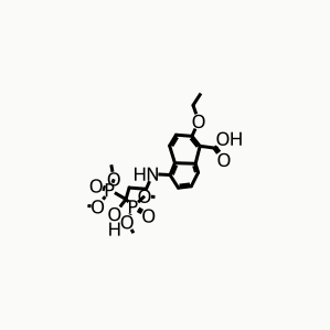 CCOc1ccc2c(NCCC(O)(P(=O)(OC)OC)P(=O)(OC)OC)cccc2c1C(=O)O